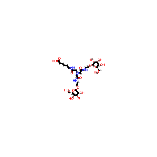 O=C(O)CCCCCNC(=O)CN(CC(=O)NCCO[C@@H]1O[C@H](CO)[C@@H](O)[C@H](O)[C@H]1O)CC(=O)NCCO[C@@H]1O[C@H](CO)[C@@H](O)[C@H](O)[C@H]1O